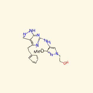 COc1nn(CCO)cc1Nc1nc(Cc2ccccc2)c2cn[nH]c2n1